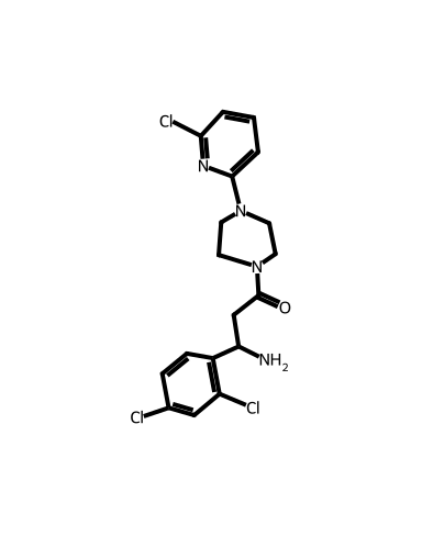 NC(CC(=O)N1CCN(c2cccc(Cl)n2)CC1)c1ccc(Cl)cc1Cl